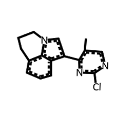 Cc1cnc(Cl)nc1-c1cn2c3c(cccc13)CCC2